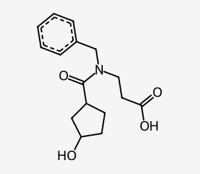 O=C(O)CCN(Cc1ccccc1)C(=O)C1CCC(O)C1